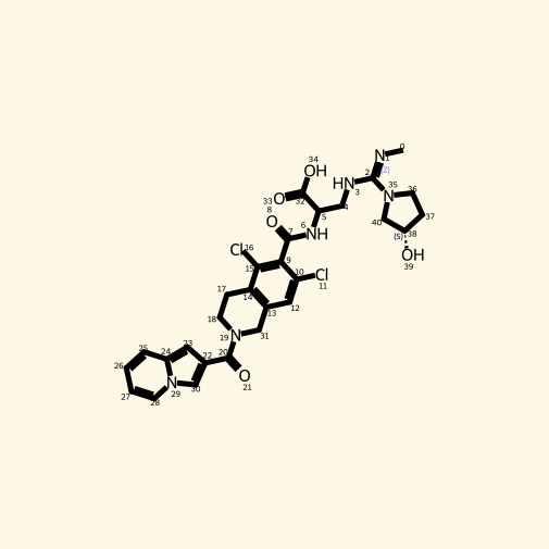 C/N=C(/NCC(NC(=O)c1c(Cl)cc2c(c1Cl)CCN(C(=O)c1cc3ccccn3c1)C2)C(=O)O)N1CC[C@H](O)C1